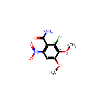 COc1cc([N+](=O)[O-])c(C(N)=O)c(F)c1OC